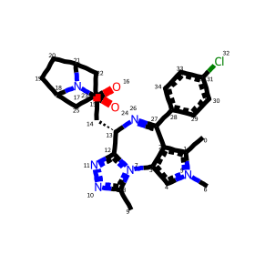 Cc1c2c(cn1C)-n1c(C)nnc1[C@H](CC(=O)N1C3CCC1CC(=O)C3)N=C2c1ccc(Cl)cc1